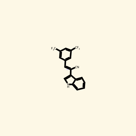 N#C/C(=C\c1cc(C(F)(F)F)cc(C(F)(F)F)c1)c1c[nH]c2ccccc12